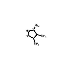 CC(C)(C)[C@@H]1NNC(N)C1N